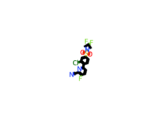 N#Cc1nc(-c2ccc(S(=O)(=O)N3CC(F)(F)C3)cc2Cl)ccc1F